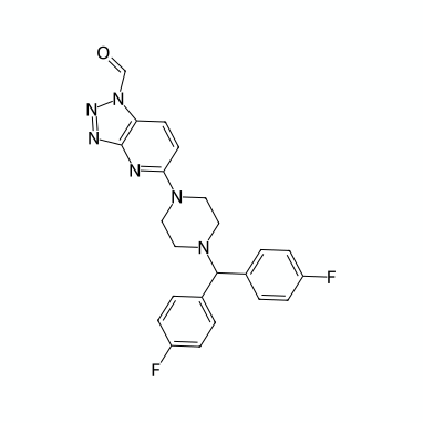 O=Cn1nnc2nc(N3CCN(C(c4ccc(F)cc4)c4ccc(F)cc4)CC3)ccc21